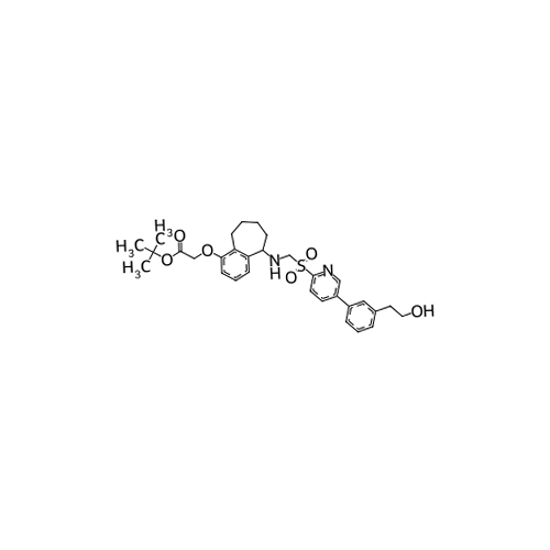 CC(C)(C)OC(=O)COc1cccc2c1CCCCC2NCS(=O)(=O)c1ccc(-c2cccc(CCO)c2)cn1